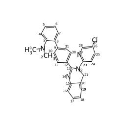 CN(C)c1ccccc1-c1ccc(C2=Nc3ccccc3CN2c2ccc(Cl)cn2)cc1